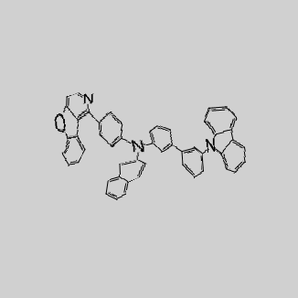 c1cc(-c2cccc(-n3c4ccccc4c4ccccc43)c2)cc(N(c2ccc(-c3nccc4oc5ccccc5c34)cc2)c2ccc3ccccc3c2)c1